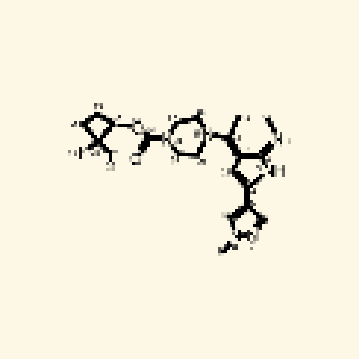 C/N=C1/NC(c2cnn(C)c2)=C/C1=C(/C)N1CCN(C(=O)O[C@@H]2CCC2(F)F)CC1